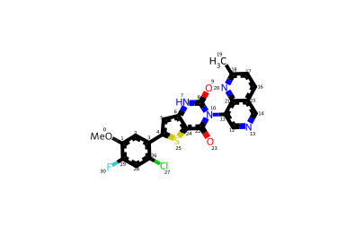 COc1cc(-c2cc3[nH]c(=O)n(-c4cncc5ccc(C)nc45)c(=O)c3s2)c(Cl)cc1F